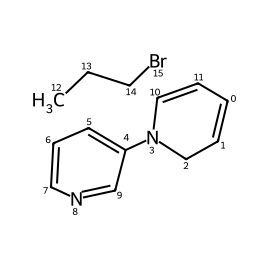 C1=CCN(c2cccnc2)C=C1.CCCBr